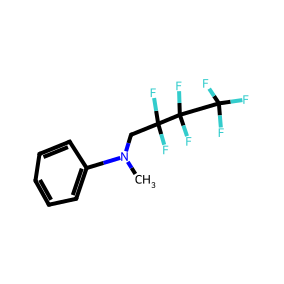 CN(CC(F)(F)C(F)(F)C(F)(F)F)c1ccccc1